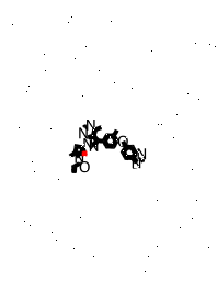 C=CC(=O)N1CC2(n3nc(-c4ccc(Oc5ccc6c(c5)ncn6C)c(C)c4)c4c(C)ncnc43)CC1(C)C2